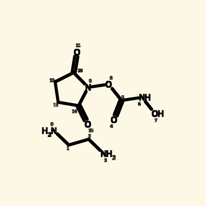 NCCN.O=C(NO)ON1C(=O)CCC1=O